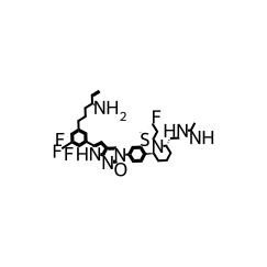 C=C[C@H](N)CCCc1cc(-c2cc3cn(-c4ccc([C@@H]5CCC[C@@H](CCNC(C)=N)N5CCCF)c(SC)c4)c(=O)nc3[nH]2)cc(C(F)(F)F)c1